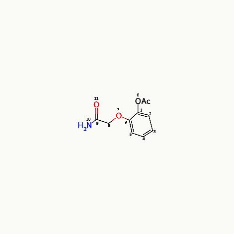 CC(=O)Oc1ccccc1OCC(N)=O